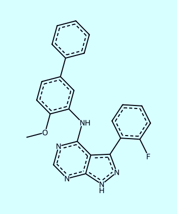 COc1ccc(-c2ccccc2)cc1Nc1ncnc2[nH]nc(-c3ccccc3F)c12